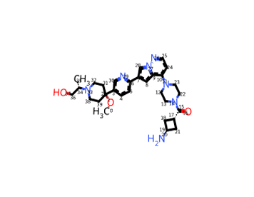 COC1(c2ccc(-c3cc4c(N5CCN(C(=O)[C@H]6C[C@H](N)C6)CC5)ccnn4c3)nc2)CCN([C@@H](C)CO)CC1